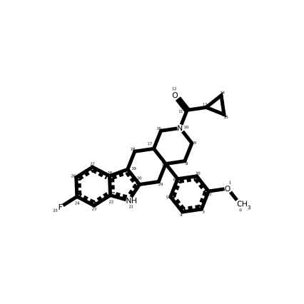 COc1cccc(C23CCN(C(=O)C4CC4)CC2Cc2c([nH]c4cc(F)ccc24)C3)c1